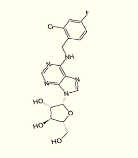 OC[C@H]1O[C@@H](n2cnc3c(NCc4ccc(F)cc4Cl)ncnc32)[C@@H](O)[C@@H]1O